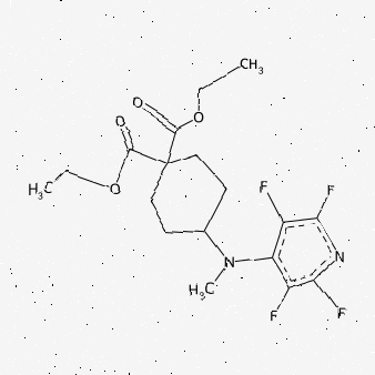 CCOC(=O)C1(C(=O)OCC)CCC(N(C)c2c(F)c(F)nc(F)c2F)CC1